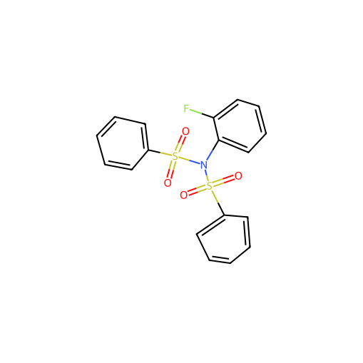 O=S(=O)(c1ccccc1)N(c1ccccc1F)S(=O)(=O)c1ccccc1